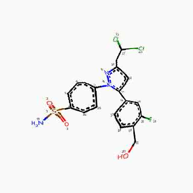 NS(=O)(=O)c1ccc(-n2nc(C(Cl)Cl)cc2-c2ccc(CO)c(F)c2)cc1